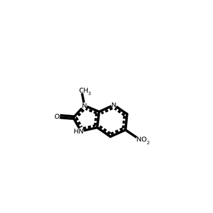 Cn1c(=O)[nH]c2cc([N+](=O)[O-])cnc21